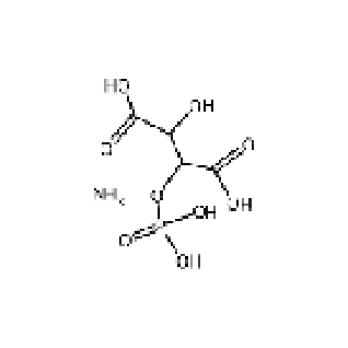 N.O=C(O)C(O)C(OP(=O)(O)O)C(=O)O